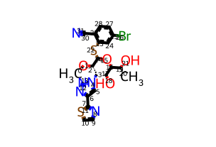 CO[C@@H](Cn1cc(-c2nccs2)nn1)C(OC(CO)[C@@H](C)O)Sc1cc(Br)ccc1C#N